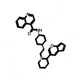 O=C(N[C@H]1CC[C@H](CCN2CCCCC2c2coc3cccc-3c2)CC1)c1ccnc2ccccc12